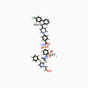 COC(c1ccccc1-c1ccc(Cl)cc1)C1CCN(c2ccc(C(=O)NS(=O)(=O)c3ccc(NC(CSc4ccccc4)C[C@H]4CCCN4CCO)c(S(=O)(=O)C(F)(F)F)c3)cc2)CC1